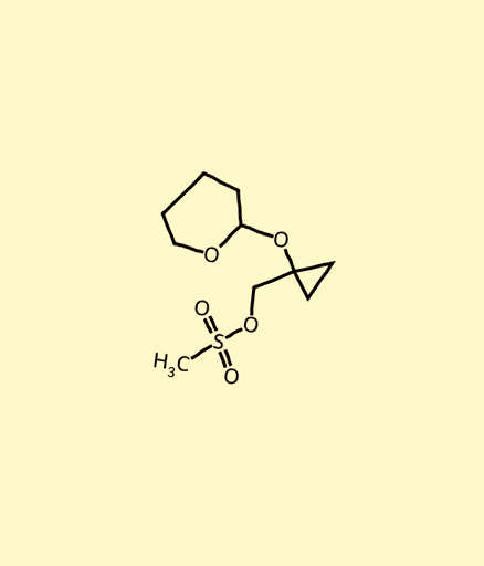 CS(=O)(=O)OCC1(OC2CCCCO2)CC1